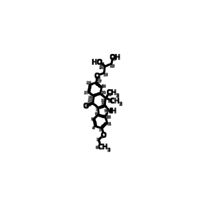 CCOc1ccc2c3c([nH]c2c1)C(C)(C)c1cc(OCC(O)CO)ccc1C3=O